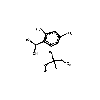 CCCNC(C)(CC)CS(=O)(=O)O.Nc1ccc(B(O)O)c(N)c1